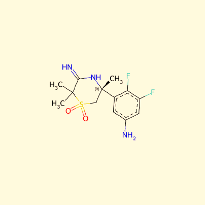 CC1(C)C(=N)N[C@](C)(c2cc(N)cc(F)c2F)CS1(=O)=O